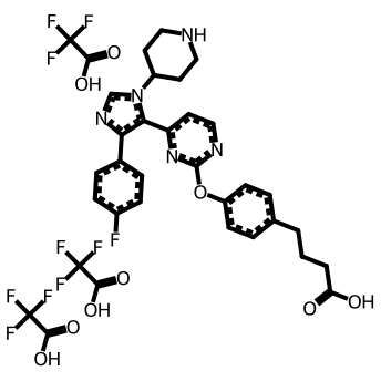 O=C(O)C(F)(F)F.O=C(O)C(F)(F)F.O=C(O)C(F)(F)F.O=C(O)CCCc1ccc(Oc2nccc(-c3c(-c4ccc(F)cc4)ncn3C3CCNCC3)n2)cc1